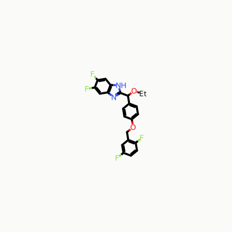 CCOC(c1ccc(OCc2cc(F)ccc2F)cc1)c1nc2cc(F)c(F)cc2[nH]1